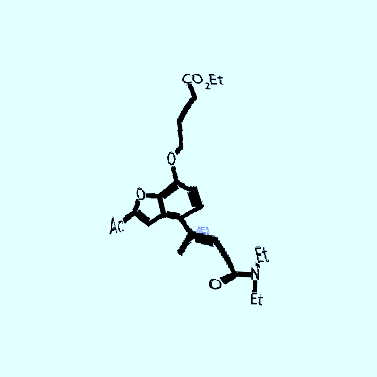 CCOC(=O)CCCOc1ccc(/C(C)=C/C(=O)N(CC)CC)c2cc(C(C)=O)oc12